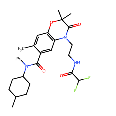 CC1CCC(N(C(=O)c2cc3c(cc2C(F)(F)F)OC(C)(C)C(=O)N3CCNC(=O)C(F)F)C(C)C)CC1